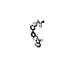 C#CNN(C)N/C=C1/C=C(c2ccc(F)c(CN3Cc4ncccc4C3=O)c2)C=CC1